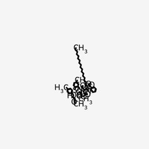 CCCCCCCCCCCCCCCCCCN1C(C(C(=O)Nc2cc(C)ccc2Sc2cc(C)ccc2OCCOC)N2C(=O)OC(C)(C)C2=O)=Nc2ccccc2S1(=O)=O